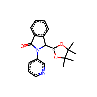 CC1(C)OB(C2c3ccccc3C(=O)N2c2cccnc2)OC1(C)C